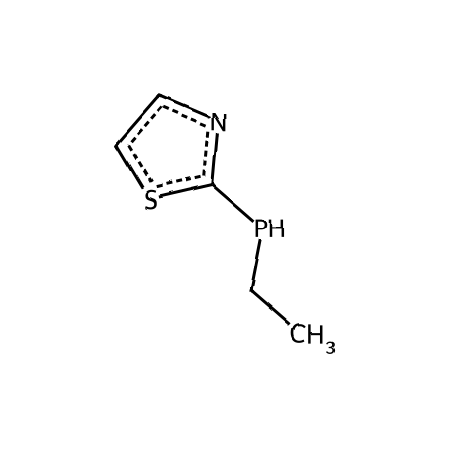 CCPc1nccs1